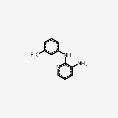 Nc1cccnc1Nc1[c]ccc(C(F)(F)F)c1